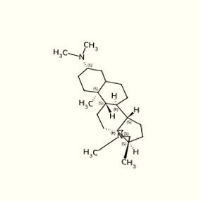 C[C@H]1[C@H]2CC[C@H]3[C@@H]4CCC5C[C@@H](N(C)C)CC[C@]5(C)[C@H]4CC[C@]23CN1C